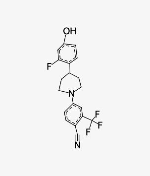 N#Cc1ccc(N2CCC(c3ccc(O)cc3F)CC2)cc1C(F)(F)F